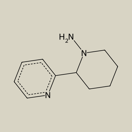 NN1CCCCC1c1ccccn1